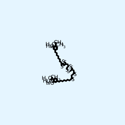 CC(C)(C)c1ccc(CCCCCCCC2SSC(CC3CSSCC(CC4SC4CC4SC4CCCCCCCc4ccc(C(C)(C)C)c(O)c4)SS3)C3CC2S3)cc1O